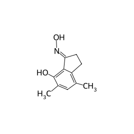 Cc1cc(C)c2c(c1O)C(=NO)CC2